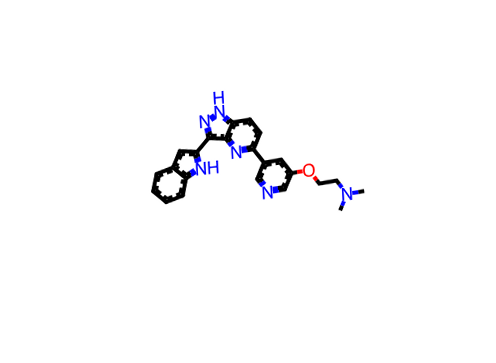 CN(C)CCOc1cncc(-c2ccc3[nH]nc(-c4cc5ccccc5[nH]4)c3n2)c1